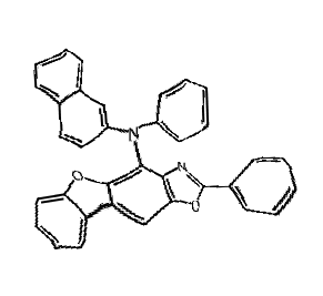 c1ccc(-c2nc3c(N(c4ccccc4)c4ccc5ccccc5c4)c4oc5ccccc5c4cc3o2)cc1